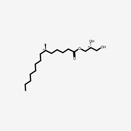 CCCCCCCC[C@@H](C)CCCCC(=O)OC[C@H](O)CO